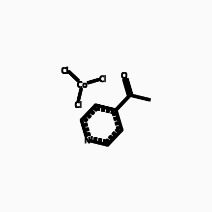 CC(=O)c1ccncc1.[Cl][Co]([Cl])[Cl]